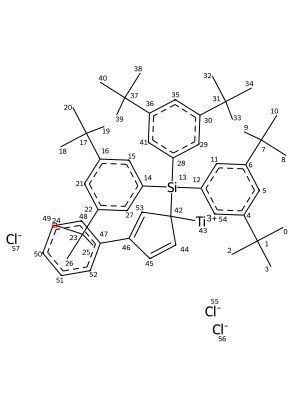 CC(C)(C)c1cc(C(C)(C)C)cc([Si](c2cc(C(C)(C)C)cc(C(C)(C)C)c2)(c2cc(C(C)(C)C)cc(C(C)(C)C)c2)[C]2([Ti+3])C=CC(c3ccccc3)=C2)c1.[Cl-].[Cl-].[Cl-]